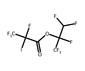 O=C(OC(F)(C(F)F)C(F)(F)F)C(F)(I)C(F)(F)F